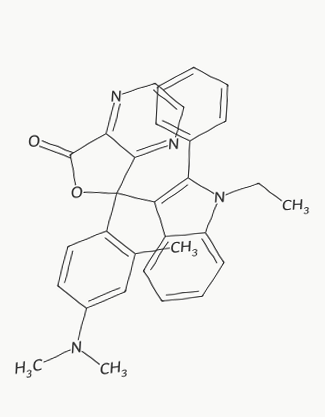 CCn1c(-c2ccccc2)c(C2(c3ccc(N(C)C)cc3C)OC(=O)c3nccnc32)c2ccccc21